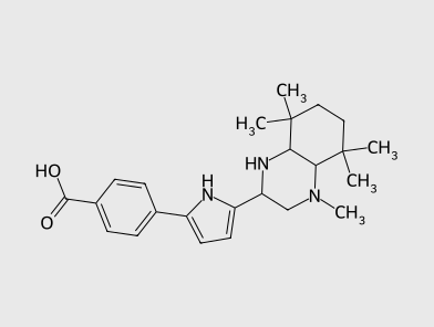 CN1CC(c2ccc(-c3ccc(C(=O)O)cc3)[nH]2)NC2C1C(C)(C)CCC2(C)C